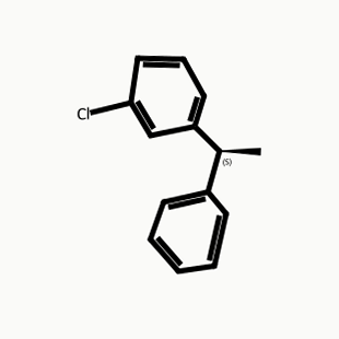 C[C@@H](c1ccccc1)c1cccc(Cl)c1